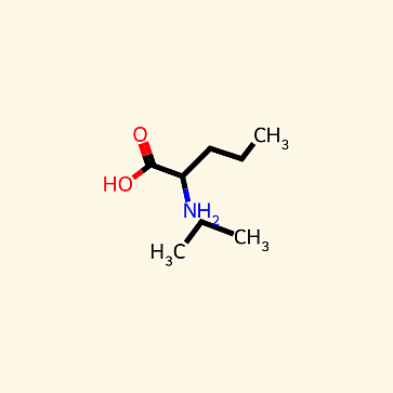 CCC.CCCC(N)C(=O)O